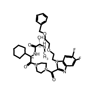 CN[C@@H](C)C(=O)N[C@@H](C(=O)N1CCN(C(=O)c2nc3cc(F)c(F)cc3n2CCOCCOCc2ccccc2)CC1)C1CCCCC1